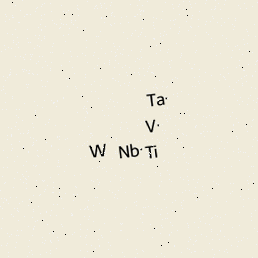 [Nb].[Ta].[Ti].[V].[W]